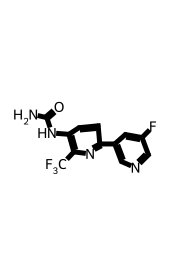 NC(=O)Nc1ccc(-c2cncc(F)c2)nc1C(F)(F)F